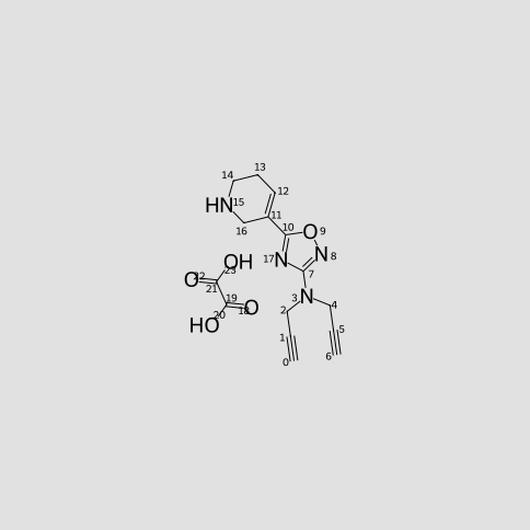 C#CCN(CC#C)c1noc(C2=CCCNC2)n1.O=C(O)C(=O)O